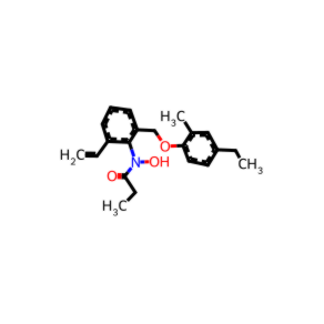 C=Cc1cccc(COc2ccc(CC)cc2C)c1N(O)C(=O)CC